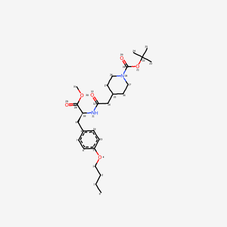 CCCCOc1ccc(C[C@H](NC(=O)CC2CCN(C(=O)OC(C)(C)C)CC2)C(=O)OC)cc1